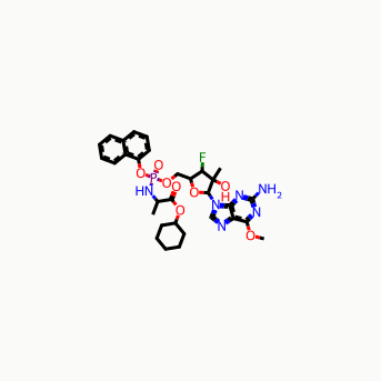 COc1nc(N)nc2c1ncn2C1OC(COP(=O)(NC(C)C(=O)OC2CCCCC2)Oc2cccc3ccccc23)C(F)C1(C)O